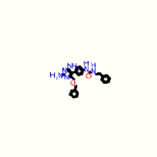 Nc1nc(N)c(-c2ccc(NC(=O)NCCc3ccccc3)cc2)c(COCc2ccccc2)n1